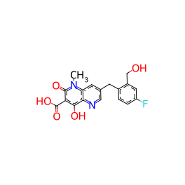 Cn1c(=O)c(C(=O)O)c(O)c2ncc(Cc3ccc(F)cc3CO)cc21